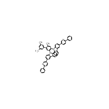 N#Cc1cc(-c2cc(-n3c4ccccc4c4cc(-c5ccc(-c6ccccc6)nc5)ccc43)c(-n3c4ccccc4c4cc(-c5ccc(-c6ccccc6)nc5)ccc43)cc2C#N)cc(C(F)(F)F)c1